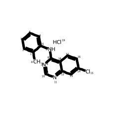 Cc1ccccc1Nc1ncnc2cc(Cl)ccc12.Cl